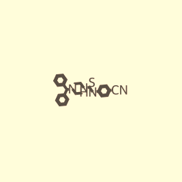 N#Cc1ccc(NC(=S)N2CCN(C(c3ccccc3)c3ccccc3)CC2)cc1